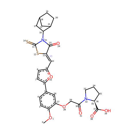 COc1ccc(-c2ccc(/C=C3\SC(=S)N(C4CC5CCC4C5)C3=O)o2)cc1OCC(=O)N1CCC[C@H]1C(=O)O